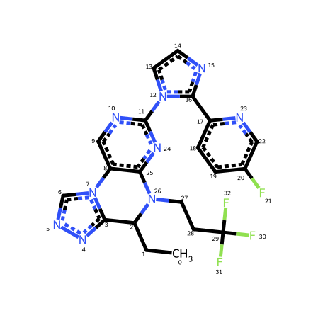 CCC1c2nncn2-c2cnc(-n3ccnc3-c3ccc(F)cn3)nc2N1CCC(F)(F)F